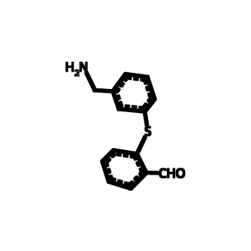 NCc1cccc(Sc2ccccc2C=O)c1